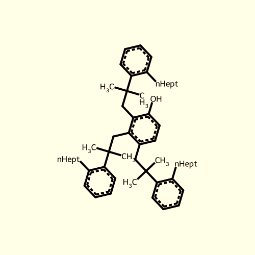 CCCCCCCc1ccccc1C(C)(C)Cc1ccc(O)c(CC(C)(C)c2ccccc2CCCCCCC)c1CC(C)(C)c1ccccc1CCCCCCC